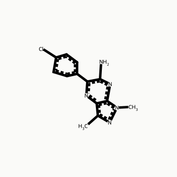 Cc1nn(C)c2nc(N)c(-c3ccc(Cl)cc3)nc12